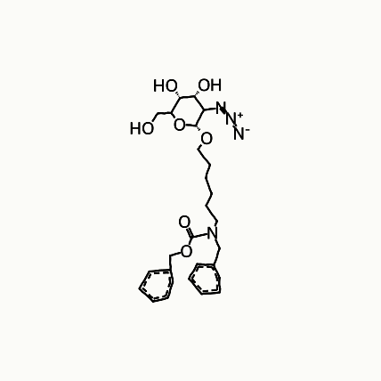 [N-]=[N+]=NC1[C@H](OCCCCCCN(Cc2ccccc2)C(=O)OCc2ccccc2)OC(CO)[C@H](O)[C@@H]1O